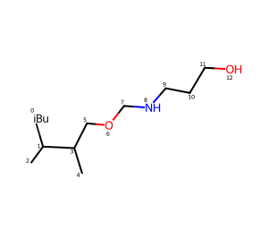 CCC(C)C(C)C(C)COCNCCCO